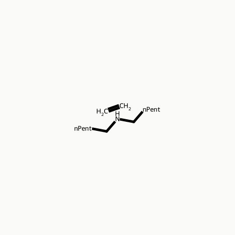 C=C.CCCCCCNCCCCCC